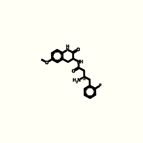 COc1ccc2c(c1)CC(NC(=O)C[C@H](N)Cc1ccccc1F)C(=O)N2